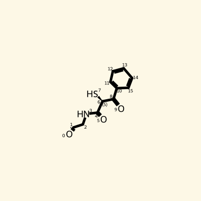 O=[C]CNC(=O)[C@@H](S)C(=O)c1ccccc1